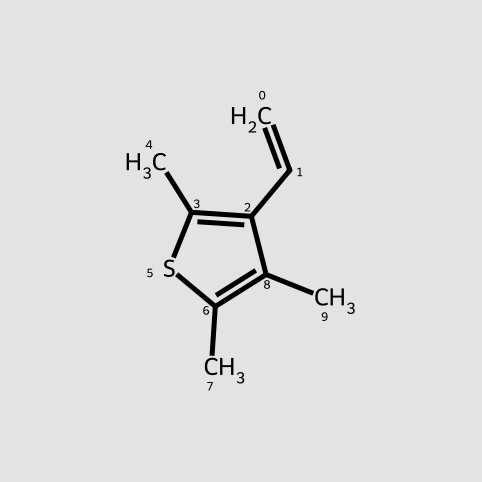 C=Cc1c(C)sc(C)c1C